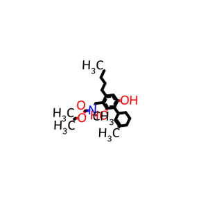 CCCCCc1cc(O)c(C2C=C(C)CCC2)c(O)c1CN(C)C(=O)OC(C)C